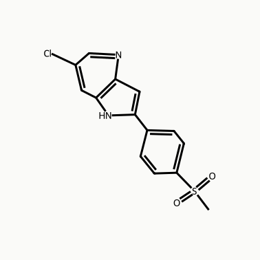 CS(=O)(=O)c1ccc(-c2cc3ncc(Cl)cc3[nH]2)cc1